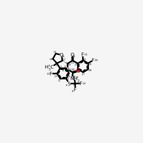 CC1(c2ccc(SC(F)(F)F)cc2F)CCO[C@@H]1C(NC(N)=O)C(=O)c1cccc(F)c1F